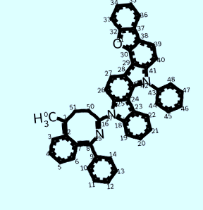 C\C1=c2/cccc/c2=C(c2ccccc2)/N=C(/n2c3ccccc3c3c2ccc2c4c5oc6ccccc6c5ccc4n(-c4ccccc4)c23)CC1